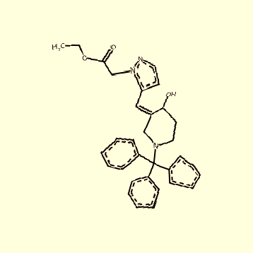 CCOC(=O)Cn1nccc1C=C1CN(C(c2ccccc2)(c2ccccc2)c2ccccc2)CCC1O